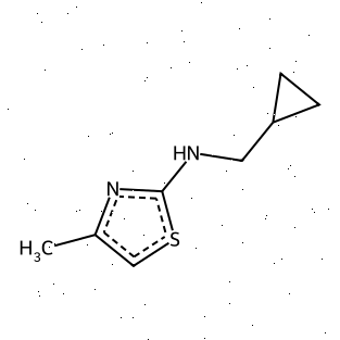 Cc1csc(NCC2CC2)n1